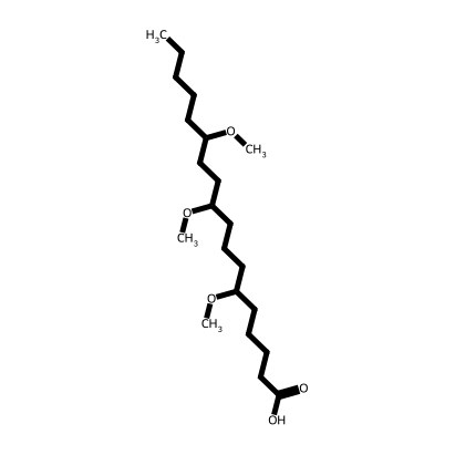 CCCCCC(CCC(CCCC(CCCCC(=O)O)OC)OC)OC